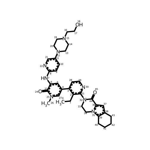 CCc1c(-c2cc(Nc3ccc(N4CCN(CCO)CC4)cn3)c(=O)n(C)c2)ccnc1N1CCn2c(cc3c2CCCC3)C1=O